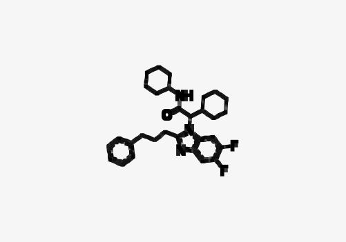 O=C(NC1CCCCC1)C(C1CCCCC1)n1c(CCCc2ccccc2)nc2cc(F)c(F)cc21